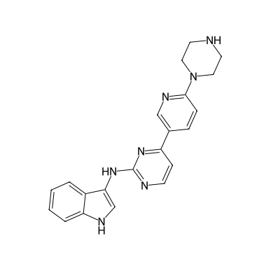 c1ccc2c(Nc3nccc(-c4ccc(N5CCNCC5)nc4)n3)c[nH]c2c1